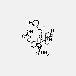 NC(=O)n1cc(NC(=O)N2[C@@H]3C[C@@H]3C[C@H]2C(=O)N(F)Cc2cccc(Cl)c2)c2cc(OCC(=O)O)ccc21